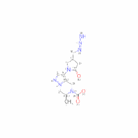 C[C@H]1Cn2ncc(N3CC(CN=[N+]=N)CC3=O)c2CN1C(=O)[O-]